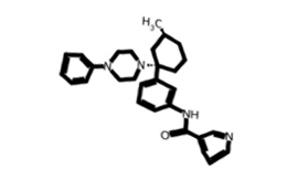 C[C@H]1CCC[C@](c2cccc(NC(=O)c3cccnc3)c2)(N2CCN(c3ccccc3)CC2)C1